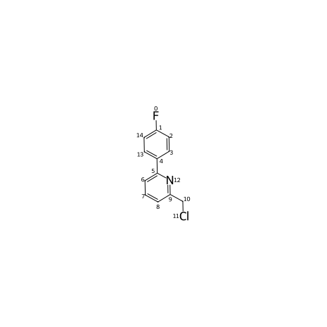 Fc1ccc(-c2cccc(CCl)n2)cc1